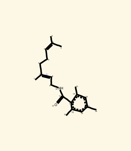 CC(C)=CCC/C(C)=C/CNC(=O)c1c(C)cc(C)cc1C